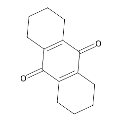 O=C1C2=C(CCCC2)C(=O)C2=C1CCCC2